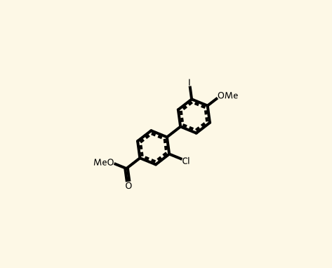 COC(=O)c1ccc(-c2ccc(OC)c(I)c2)c(Cl)c1